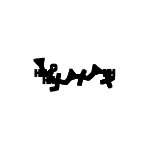 CCC(C)(CC1CC1C(C)(C)CC1CC1NC(C)(C)C)NC(=O)NC1CC1